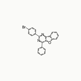 Brc1ccc(-c2nc(-c3ccccc3)c3oc4ccccc4c3n2)cc1